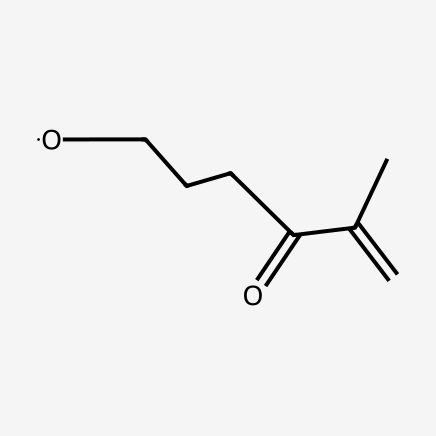 C=C(C)C(=O)CCC[O]